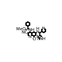 COC[C@H](Nc1c(C#N)cnc2c(Cl)cc(N[C@@H](c3cccnc3)c3c[nH]nn3)cc12)c1ccccc1